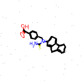 NC(=S)N(Cc1ccc(C(=O)O)cc1)c1ccc2c(c1)Cc1ccccc1-2